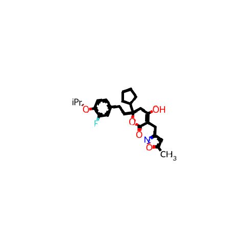 Cc1cc(CC2=C(O)CC(CCc3ccc(OC(C)C)c(F)c3)(C3CCCC3)OC2=O)no1